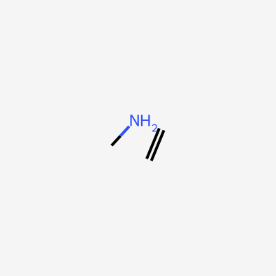 C=C.CN